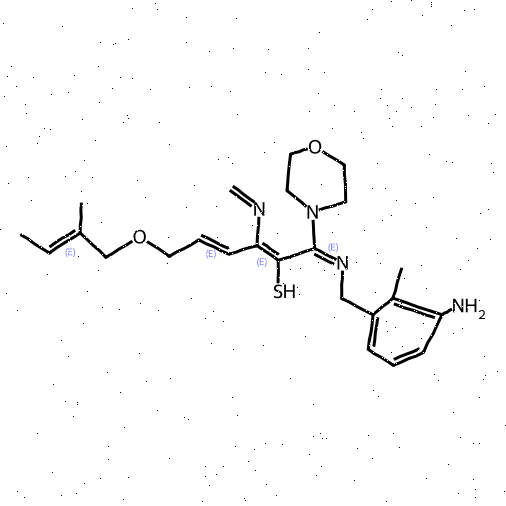 C=NC(/C=C/COC/C(C)=C/C)=C(S)\C(=N/Cc1cccc(N)c1C)N1CCOCC1